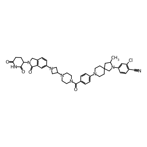 CC1CC2(CCN(c3ccc(C(=O)N4CCN(C5CN(c6ccc7c(c6)C(=O)N(C6CCC(=O)NC6=O)C7)C5)CC4)cc3)CC2)CN1c1ccc(C#N)c(Cl)c1